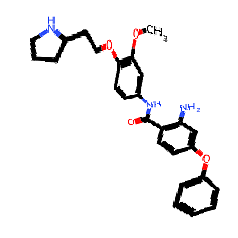 COc1cc(NC(=O)c2ccc(Oc3ccccc3)cc2N)ccc1OCCC1CCCN1